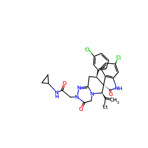 C=C(CC)[C@H]1N2CC(=O)N(CC(=O)NC3CC3)N=C2C[C@@H](c2cccc(Cl)c2)[C@]12C(=O)Nc1cc(Cl)ccc12